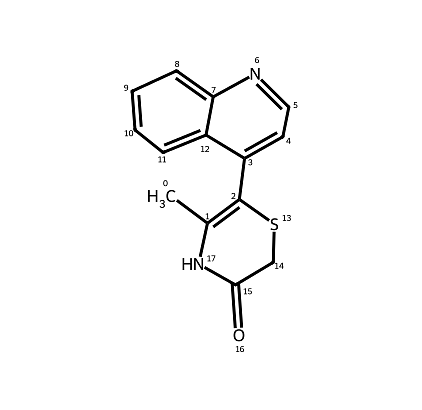 CC1=C(c2ccnc3ccccc23)SCC(=O)N1